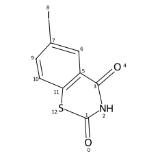 O=c1[nH]c(=O)c2cc(I)ccc2s1